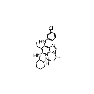 CCc1c(N[C@@H]2CCCC[C@H]2NC)nc2c(ncn2C(C)C)c1Nc1cccc(Cl)c1